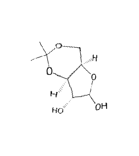 CC1(C)OC[C@H]2OC(O)[C@H](O)[C@H]2O1